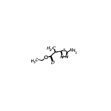 CCOC(=O)C(C)c1nnc(N)s1